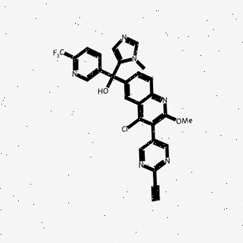 C#Cc1ncc(-c2c(OC)nc3ccc(C(O)(c4ccc(C(F)(F)F)nc4)c4cncn4C)cc3c2Cl)cn1